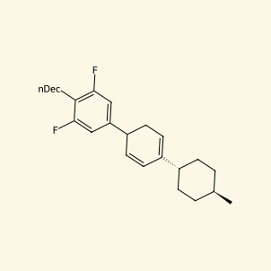 CCCCCCCCCCc1c(F)cc(C2C=CC([C@H]3CC[C@H](C)CC3)=CC2)cc1F